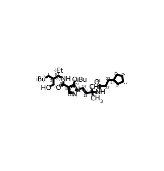 CCC(C)CC(CO)[C@H](CC)NC(=O)c1cnn(/C=C/C(C)(C)NC(=O)CCC2CCCC2)c1OCC(C)C